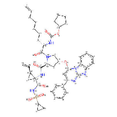 C=CCCCCC[C@H](NC(=O)OC1CCCC1)C(=O)N1C[C@H](Oc2cc(-c3ccccc3)nc3nc4ccccc4n23)C[C@H]1C(=O)N[C@]1(C(=O)NS(=O)(=O)C2CC2)C[C@H]1C=C